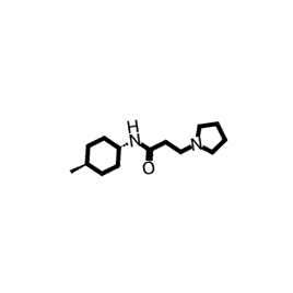 C[C@H]1CC[C@H](NC(=O)CCN2CCCC2)CC1